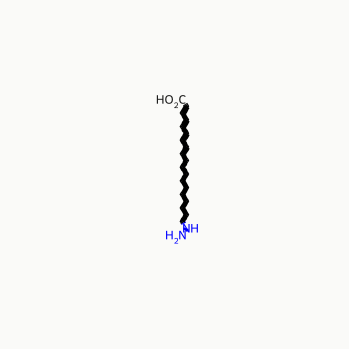 NNCCCCCCCCCCC=CC=CC=CC=CC(=O)O